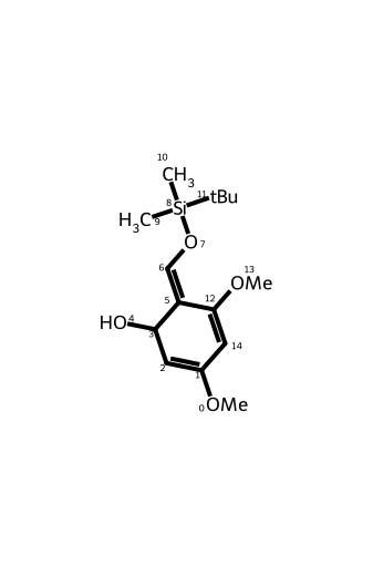 COC1=CC(O)C(=CO[Si](C)(C)C(C)(C)C)C(OC)=C1